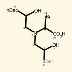 CCCCCCCCCCC(O)CN(CC(O)CCCCCCCCCC)C(C(=O)O)C(C)CC